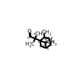 CC1CCC2CC1(C(C)(C)C=O)C2(C)C